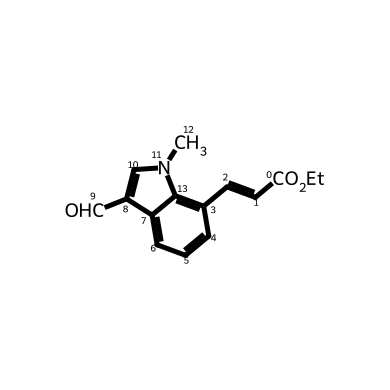 CCOC(=O)/C=C/c1cccc2c(C=O)cn(C)c12